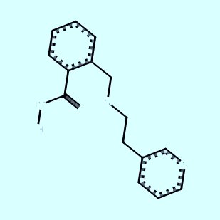 O=C(NO)c1ccccc1CNCCc1cccnc1